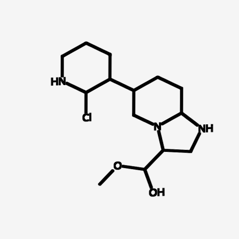 COC(O)C1CNC2CCC(C3CCCNC3Cl)CN21